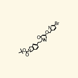 CC(C)(C)OC(=O)N1Cc2ccc(CCn3ncc(OCc4ccc(Br)cn4)cc3=O)cc2C1